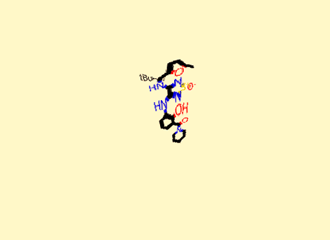 Cc1ccc([C@H](Nc2n[s+]([O-])nc2Nc2cccc(C(=O)N3CCCCC3)c2O)C(C)(C)C)o1